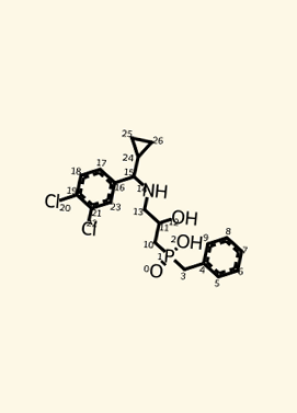 O=P(O)(Cc1ccccc1)CC(O)CNC(c1ccc(Cl)c(Cl)c1)C1CC1